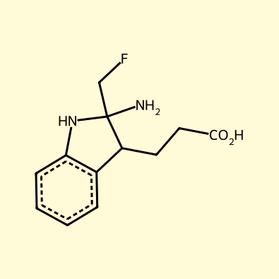 NC1(CF)Nc2ccccc2C1CCC(=O)O